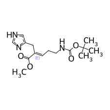 COC(=O)/C(=C/CCNC(=O)OC(C)(C)C)Cc1c[nH]cn1